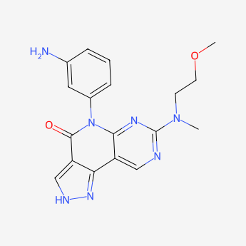 COCCN(C)c1ncc2c3n[nH]cc3c(=O)n(-c3cccc(N)c3)c2n1